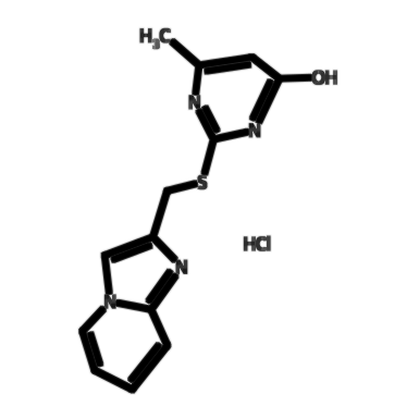 Cc1cc(O)nc(SCc2cn3ccccc3n2)n1.Cl